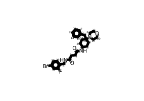 O=C(CCC(=O)NC1CCC(Cc2ccccc2)(N2CCOCC2)CC1)NCc1ccc(Br)cc1F